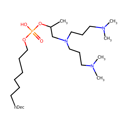 CCCCCCCCCCCCCCCCOP(=O)(O)OC(C)CN(CCCN(C)C)CCCN(C)C